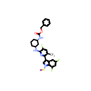 O=C(N[C@@H]1CCC[C@H](Nc2nc(-c3cn(SI)c4c(F)cc(F)cc34)c(C(F)(F)F)cc2F)C1)OCc1ccccc1